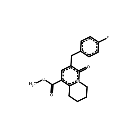 COC(=O)c1cc(Cc2ccc(F)cc2)c(=O)n2c1CCCC2